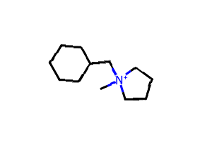 C[N+]1(CC2CCCCC2)CCCC1